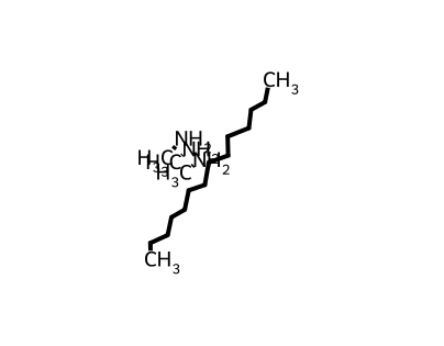 CCCCCCCCCCCCCC.CN.CN.CN